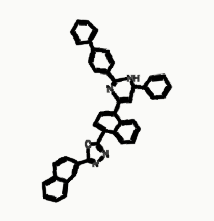 C1=C(c2ccc(-c3nnc(-c4ccc5ccccc5c4)o3)c3ccccc23)N=C(c2ccc(-c3ccccc3)cc2)NC1c1ccccc1